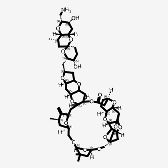 C=C1[C@H](C)C[C@@H]2CC[C@@H]3O[C@@H](CC[C@@]45C[C@H]6OC7C(O4)[C@H]4O[C@H](CC[C@@H]4O[C@H]7C6O5)CC(=O)O[C@@H]4CC5OC6C[C@H](C[C@@H]7O[C@@]8(CC[C@@H]7O)C[C@H](C)[C@@H]7O[C@H](CN)[C@H](O)C[C@@H]7O8)O[C@@H]6C[C@@H]5O[C@H]4C[C@H]1O2)CC3(C)C